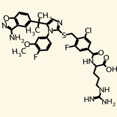 COc1cc(-n2c(C(C)(C)c3ccc4onc(N)c4c3)cnc2SCc2c(F)cc(C(=O)NC(CCCNC(=N)N)C(=O)O)cc2Cl)ccc1F